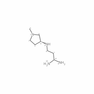 CN1CC[C@H](NCCC(N)N)C1